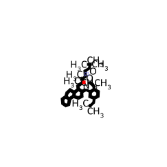 CC(=CO/C(=C\C(=O)C(C)(C)C)C(C)(C)C)c1ccc(CC(C)C)cc1-c1nccc2c1ccc1c3ccccc3ccc21